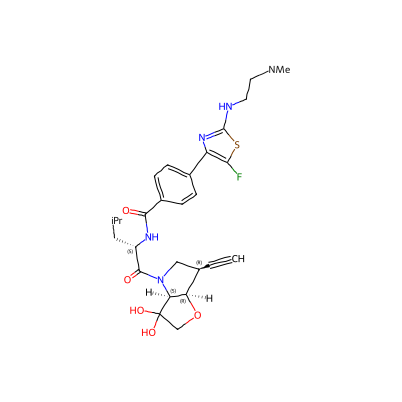 C#C[C@@H]1CN(C(=O)[C@H](CC(C)C)NC(=O)c2ccc(-c3nc(NCCNC)sc3F)cc2)[C@H]2[C@@H]1OCC2(O)O